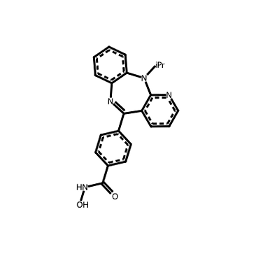 CC(C)N1c2ccccc2N=C(c2ccc(C(=O)NO)cc2)c2cccnc21